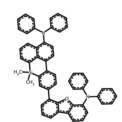 C[Si]1(C)c2cc(-c3cccc4c3oc3c(N(c5ccccc5)c5ccccc5)cccc34)ccc2-c2ccc(N(c3ccccc3)c3ccccc3)c3cccc1c23